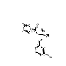 CC(C)C(O)(CCc1cccc(F)c1)CC(=O)n1ccnc1